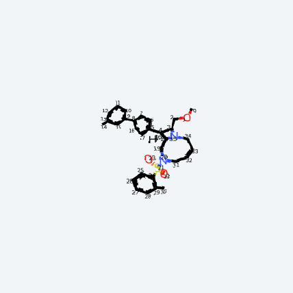 COC[C@@H]1C(c2ccc(-c3cccc(C)c3)cc2)[C@@H]2CN(S(=O)(=O)c3ccccc3C)C/C=C\CN12